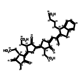 CN1C(=O)/C(=c2\s/c(=c3/sc(=C/C(F)=C4/Sc5ccccc5N4CCCS(=O)(=O)O)c(=O)n3CC(=O)O)c(=O)n2CC(=O)O)N(CC(=O)O)C1=S